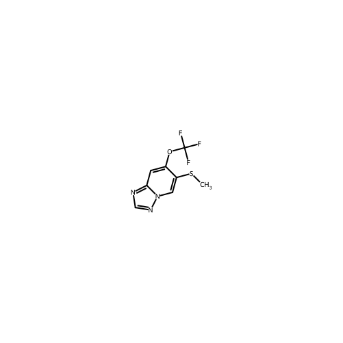 CSc1cn2ncnc2cc1OC(F)(F)F